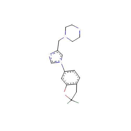 FC1(F)Cc2ccc(-n3cnc(CN4CCNCC4)c3)cc2O1